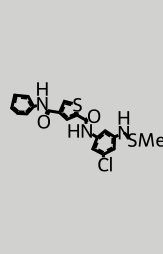 CSNc1cc(Cl)cc(NC(=O)c2cc(C(=O)Nc3ccccc3)cs2)c1